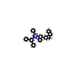 CC1(C)c2ccc(-c3ccc(-c4nc(-c5ccccc5)cc(-c5cc(-c6ccccc6)cc(-c6ccccc6)c5)n4)c4ccccc34)cc2-c2c1ccc1ccccc21